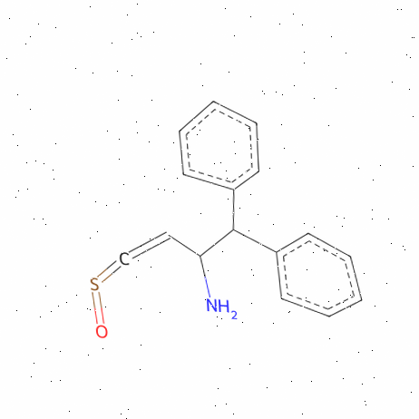 NC(C=C=S=O)C(c1ccccc1)c1ccccc1